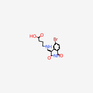 O=C(O)CCCN/C=C1/C(=O)NC(=O)c2ccc(Br)cc21